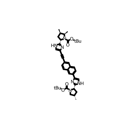 C[C@H]1C[C@@H](c2nc(-c3ccc4cc(C#Cc5c[nH]c([C@@H]6C[C@@H](C)[C@@H](C)N6C(=O)OC(C)(C)C)n5)ccc4c3)c[nH]2)N(C(=O)OC(C)(C)C)C1